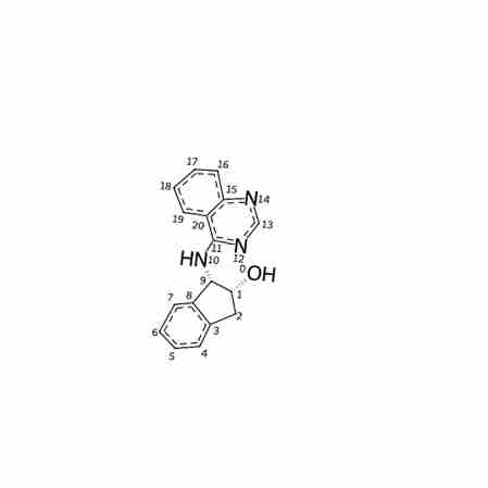 O[C@@H]1Cc2ccccc2[C@@H]1Nc1ncnc2ccccc12